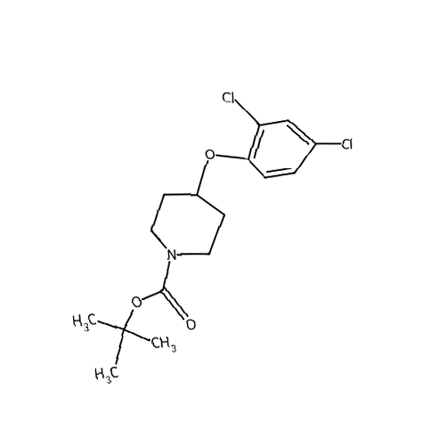 CC(C)(C)OC(=O)N1CCC(Oc2ccc(Cl)cc2Cl)CC1